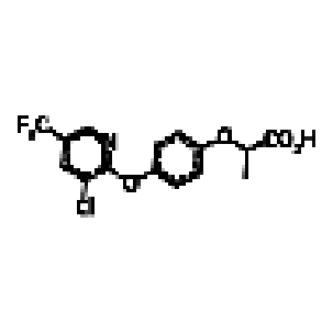 C[C@@H](Oc1ccc(Oc2ncc(C(F)(F)F)cc2Cl)cc1)C(=O)O